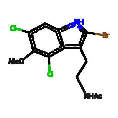 COc1c(Cl)cc2[nH]c(Br)c(CCNC(C)=O)c2c1Cl